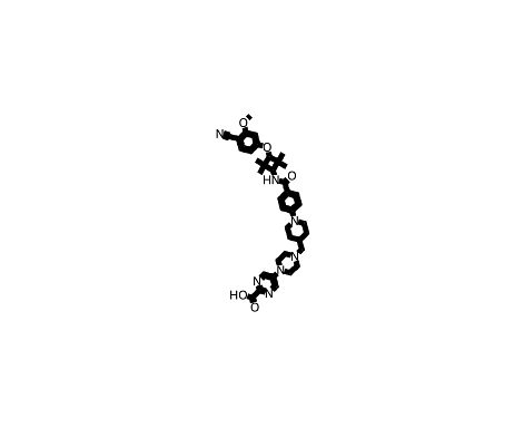 COc1cc(OC2C(C)(C)C(NC(=O)c3ccc(N4CCC(CN5CCN(c6cnc(C(=O)O)nc6)CC5)CC4)cc3)C2(C)C)ccc1C#N